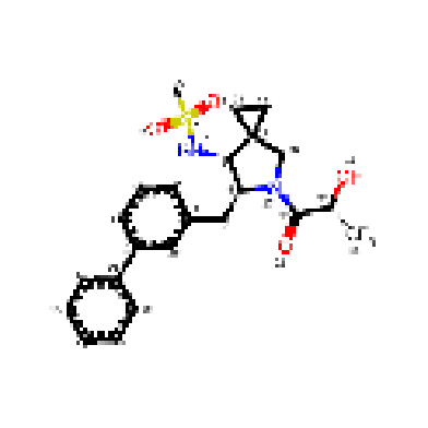 CS(=O)(=O)N[C@@H]1[C@H](Cc2cccc(-c3ccccc3)c2)N(C(=O)[C@H](O)C(F)(F)F)CC12CC2